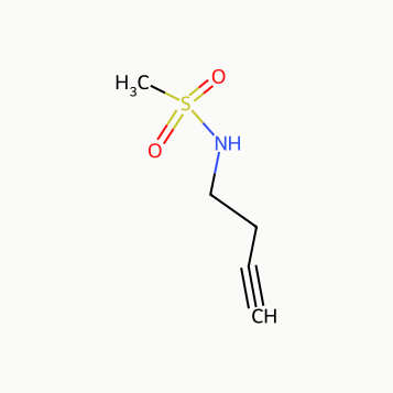 C#CCCNS(C)(=O)=O